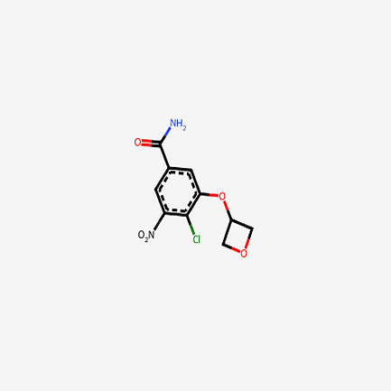 NC(=O)c1cc(OC2COC2)c(Cl)c([N+](=O)[O-])c1